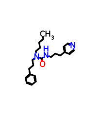 CCCCCN(CCCc1ccccc1)C(=O)NCCCc1ccncc1